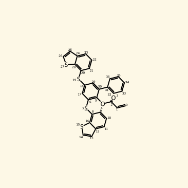 C=CC(=O)Oc1c(Sc2cccc3ccsc23)cc(Sc2cccc3ccsc23)cc1-c1ccccc1